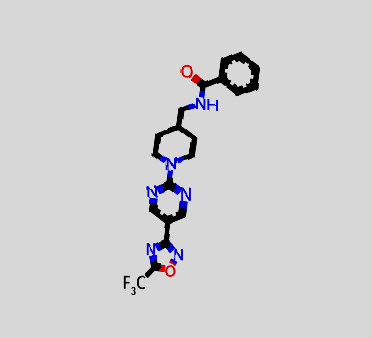 O=C(NCC1CCN(c2ncc(-c3noc(C(F)(F)F)n3)cn2)CC1)c1ccccc1